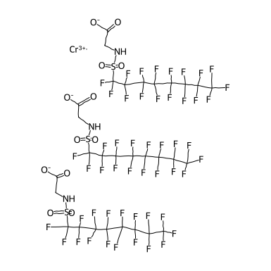 O=C([O-])CNS(=O)(=O)C(F)(F)C(F)(F)C(F)(F)C(F)(F)C(F)(F)C(F)(F)C(F)(F)C(F)(F)F.O=C([O-])CNS(=O)(=O)C(F)(F)C(F)(F)C(F)(F)C(F)(F)C(F)(F)C(F)(F)C(F)(F)C(F)(F)F.O=C([O-])CNS(=O)(=O)C(F)(F)C(F)(F)C(F)(F)C(F)(F)C(F)(F)C(F)(F)C(F)(F)C(F)(F)F.[Cr+3]